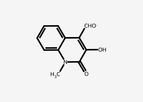 Cn1c(=O)c(O)c([C]=O)c2ccccc21